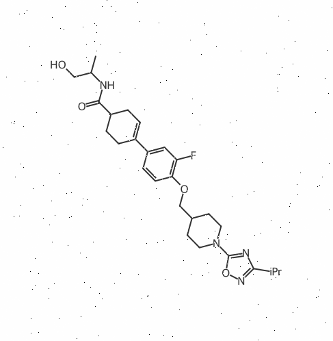 CC(CO)NC(=O)C1CC=C(c2ccc(OCC3CCN(c4nc(C(C)C)no4)CC3)c(F)c2)CC1